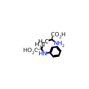 C[C@H](N)C(=O)O.C[C@H](Nc1ccccc1)C(=O)O